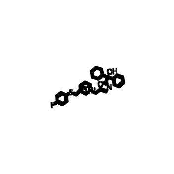 O[C@](c1ccccc1)(c1ncc(C[N+]23CCC(CC2)C(CSc2ccc(F)cc2)C3)o1)C1CCCCC1